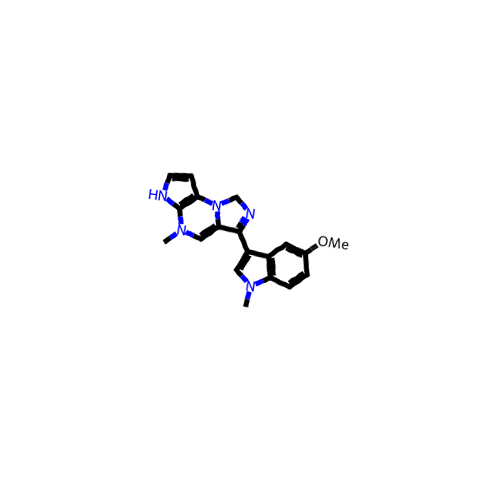 COc1ccc2c(c1)c(C1=NCN3C1=CN(C)c1[nH]ccc13)cn2C